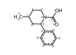 CC1CCN(C(=O)O)C(c2ccccc2)C1